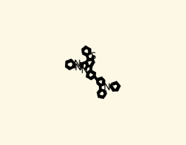 C1=CC2C(C=C1)n1c3c(c4c5c(cc6c7cc(-c8ccc9c(c8)c8ccccc8n9-c8ccccc8)ccc7n3c64)sc3ccccc35)n12